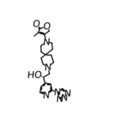 CC1=C(N2CCC3(CCN(C[C@@H](O)c4ccnc(-n5cnnn5)c4)CC3)CC2)COC1=O